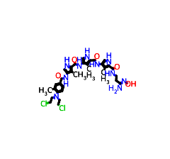 Cc1cc(C(=O)Nc2c[nH]c(C(=O)Nc3c[nH]c(C(=O)Nc4c[nH]c(C(=O)NCCC(N)=NO)c4C)c3C)c2C)ccc1N(CCCl)CCCl